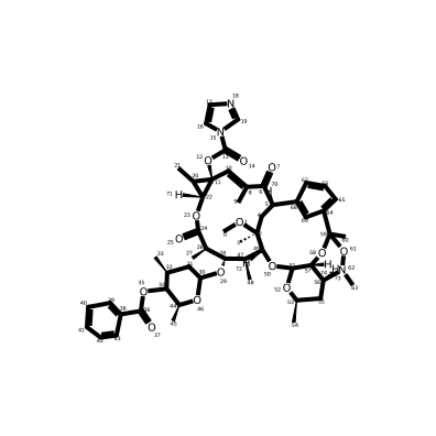 CO[C@@]1(C)C[C@@H]2C(=O)/C(C)=C/[C@@]3(OC(=O)n4ccnc4)C(C)[C@H]3OC(=O)[C@H](C)[C@@H](OC3C[C@H](C)C(OC(=O)c4ccccc4)[C@H](C)O3)[C@H](C)[C@H]1OC1O[C@H](C)C[C@H]3[C@H]1OC(C)(ON3C)c1cccc2c1